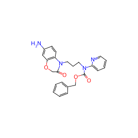 Nc1ccc2c(c1)OCC(=O)N2CCCN(C(=O)OCc1ccccc1)c1ccccn1